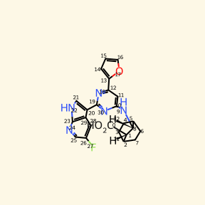 O=C(O)[C@H]1C2CCC(CC2)[C@H]1Nc1cc(-c2ccco2)nc(-c2c[nH]c3ncc(F)cc23)n1